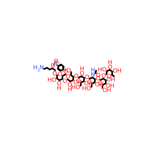 CC(=O)NC1C(O[C@@H]2OC(CO)[C@H](O)C(O)C2O[C@@H]2OC(C)[C@@H](O)C(O)C2O)[C@@H](O)C(CO)O[C@H]1OC1C(O)[C@@H](O[C@H]2C(CO)O[C@@H](O[C@@H]3C(COc4ccc([N+](=O)[O-])cc4)O[C@@H](OCCCCCN)C(O)C3O)C(O)C2O)OC(CO)[C@@H]1O